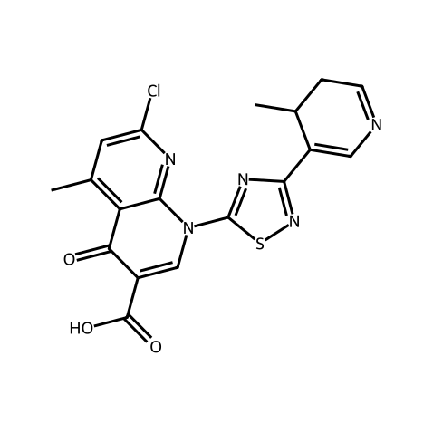 Cc1cc(Cl)nc2c1c(=O)c(C(=O)O)cn2-c1nc(C2=CN=CCC2C)ns1